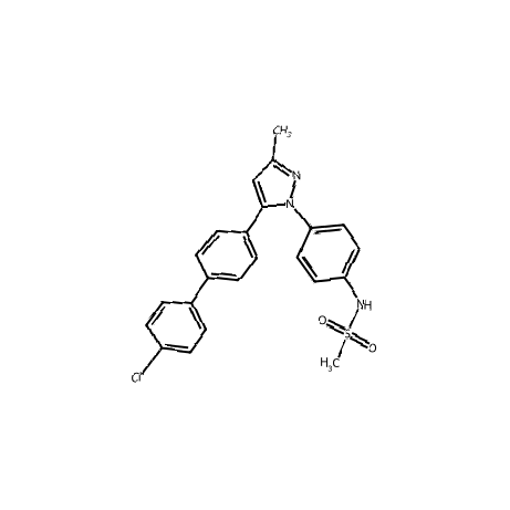 Cc1cc(-c2ccc(-c3ccc(Cl)cc3)cc2)n(-c2ccc(NS(C)(=O)=O)cc2)n1